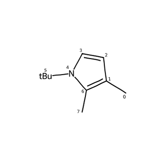 Cc1ccn(C(C)(C)C)c1C